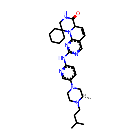 CC(C)CCN1CCN(c2ccc(Nc3ncc4c(n3)N3C(C=C4)C(=O)NCC34CCCCC4)nc2)C[C@@H]1C